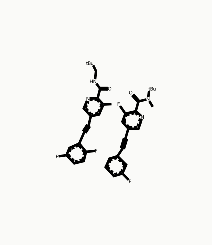 CN(C(=O)c1ncc(C#Cc2cccc(F)c2)cc1F)C(C)(C)C.Cc1cc(C#Cc2cc(F)ccc2F)cnc1C(=O)NCC(C)(C)C